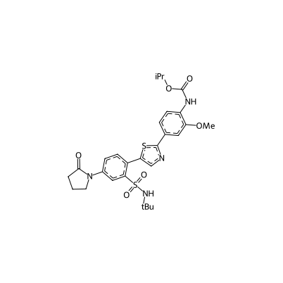 COc1cc(-c2ncc(-c3ccc(N4CCCC4=O)cc3S(=O)(=O)NC(C)(C)C)s2)ccc1NC(=O)OC(C)C